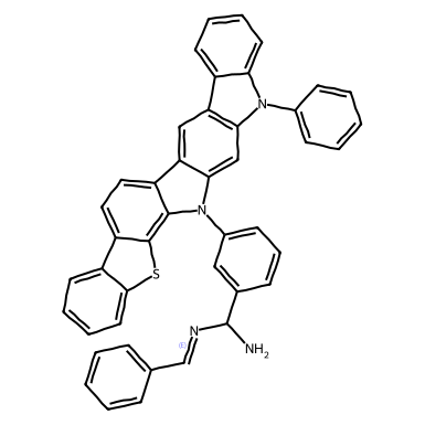 NC(/N=C/c1ccccc1)c1cccc(-n2c3cc4c(cc3c3ccc5c6ccccc6sc5c32)c2ccccc2n4-c2ccccc2)c1